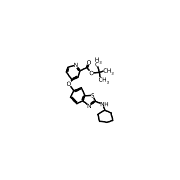 CC(C)(C)OC(=O)c1cc(Oc2ccc3nc(NC4CCCCC4)sc3c2)ccn1